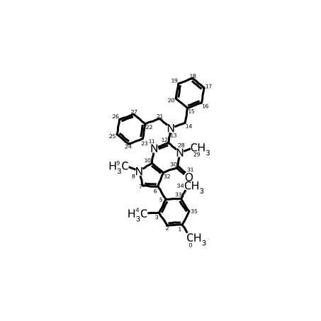 Cc1cc(C)c(-c2cn(C)c3nc(N(Cc4ccccc4)Cc4ccccc4)n(C)c(=O)c23)c(C)c1